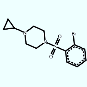 O=S(=O)(c1ccccc1Br)N1CCN(C2CC2)CC1